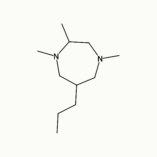 CCCC1CN(C)CC(C)N(C)C1